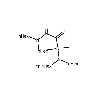 CCCCCCN(CCCCCC)NC(=N)[N+](C)(C)N(CCCCCC)CCCCCC.[Cl-]